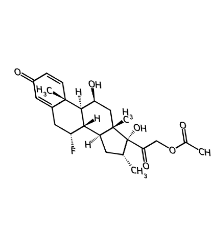 CC(=O)OCC(=O)[C@@]1(O)[C@H](C)C[C@H]2[C@H]3[C@H]([C@@H](O)C[C@@]21C)[C@@]1(C)C=CC(=O)C=C1C[C@H]3F